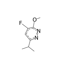 COc1nnc(C(C)C)cc1F